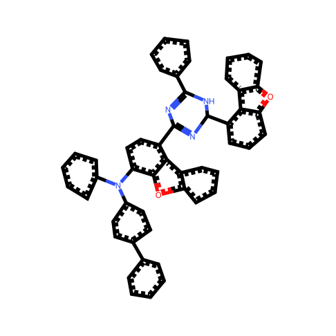 c1ccc(C2=NC(c3ccc(N(c4ccccc4)c4ccc(-c5ccccc5)cc4)c4oc5ccccc5c34)=NC(c3cccc4oc5ccccc5c34)N2)cc1